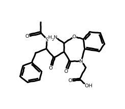 CC(=O)SC(Cc1ccccc1)C(=O)C1C(=O)N(CC(=O)O)c2ccccc2OC1N